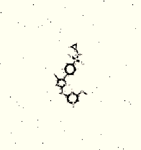 COc1cncc(Nc2nc(C)c(-c3ccc(S(=O)(=O)NC4CC4)cc3)s2)n1